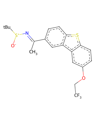 C/C(=N\[S+]([O-])C(C)(C)C)c1ccc2sc3ccc(OCC(F)(F)F)cc3c2c1